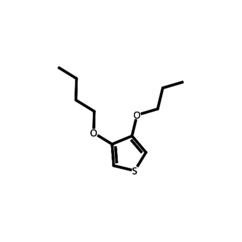 CCCCOc1cscc1OCCC